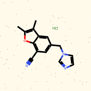 Cc1oc2c(C#N)cc(Cn3ccnc3)cc2c1C.Cl